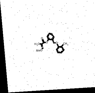 CON=C(C)C(=O)Oc1ccccc1COc1ccccc1C